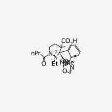 CCCC(=O)N1CC[C@](C)(C(=O)O)[C@](C(=O)NC)(c2ccccc2-c2cocn2)N1CC